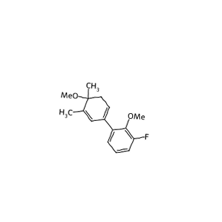 COc1c(F)cccc1C1=CCC(C)(OC)C(C)=C1